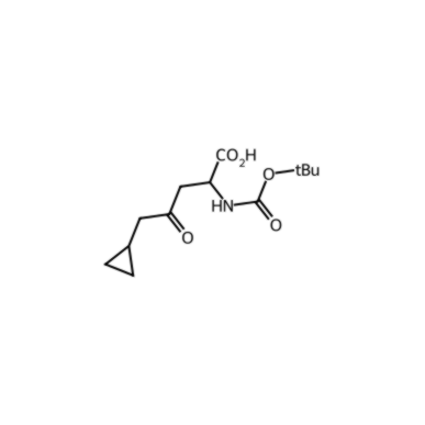 CC(C)(C)OC(=O)NC(CC(=O)CC1CC1)C(=O)O